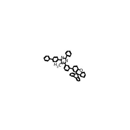 CN1C(c2ccc(-c3ccccc3)cc2)=NC(c2ccccc2)=NC1c1cccc(-c2ccc3c(c2)C2(c4ccccc4O3)c3ccccc3-c3ccccc32)c1